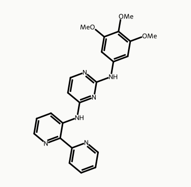 COc1cc(Nc2nccc(Nc3cccnc3-c3ccccn3)n2)cc(OC)c1OC